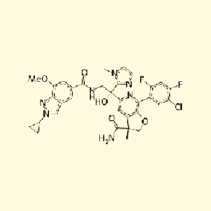 COc1cc(C(=O)NC[C@](O)(c2cc3c(c(-c4cc(Cl)c(F)cc4F)n2)OC[C@]3(C)C(N)=O)c2nccn2C)cc2cn(C3CC3)nc12